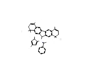 CCC1C=C(C(C)(C)C)C=[C]1/[Zr+2](=[C](/C)c1ccccc1)[CH]1c2cc3c(cc2-c2cc4c(cc21)C(C)(C)CC=C4C)C(C)=CCC3(C)C.[Cl-].[Cl-]